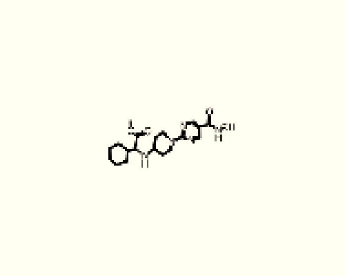 COC(=O)[C@@H](NC1CCN(c2ncc(C(=O)NO)cn2)CC1)C1CCCCC1